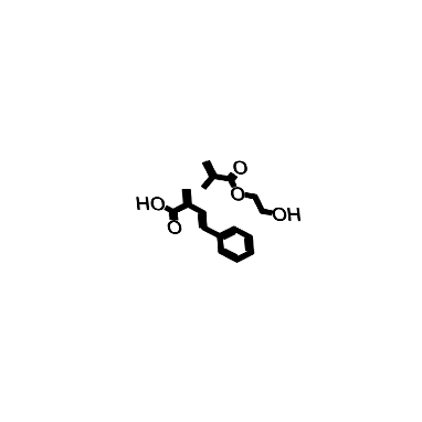 C=C(C)C(=O)OCCO.C=C(C=Cc1ccccc1)C(=O)O